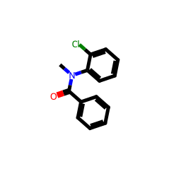 CN(C(=O)c1ccccc1)c1ccccc1Cl